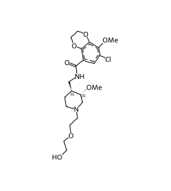 COc1c(Cl)cc(C(=O)NC[C@@H]2CCN(CCOCCO)C[C@H]2OC)c2c1OCCO2